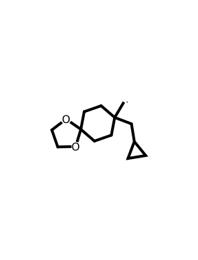 [CH2]C1(CC2CC2)CCC2(CC1)OCCO2